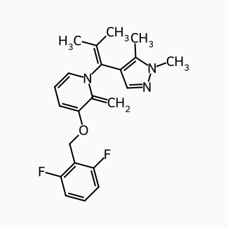 C=C1C(OCc2c(F)cccc2F)=CC=CN1C(=C(C)C)c1cnn(C)c1C